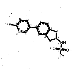 CC(C)S(=O)(=O)NC1Cc2ccc(-c3ccc(F)nc3)cc2C1